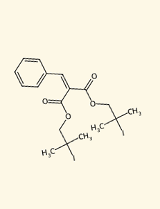 CC(C)(I)COC(=O)C(=Cc1ccccc1)C(=O)OCC(C)(C)I